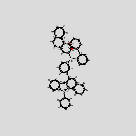 c1ccc(-c2ccccc2N(c2cccc(-c3cc4ccccc4c4c3c3ccccc3n4-c3ccccc3)c2)c2ccc3c(ccc4ccccc43)c2)cc1